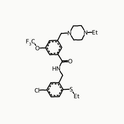 CCSc1ccc(Cl)cc1CNC(=O)c1cc(CN2CCN(CC)CC2)cc(OC(F)(F)F)c1